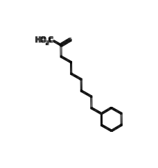 C=C(CCCCCCCC1CCCCC1)C(=O)O